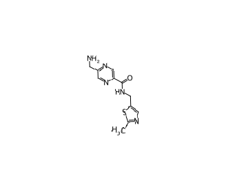 Cc1ncc(CNC(=O)c2cnc(CN)cn2)s1